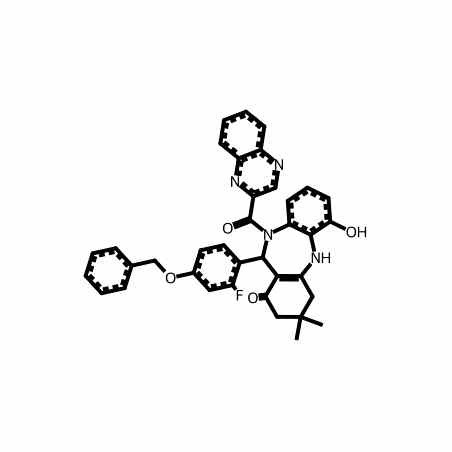 CC1(C)CC(=O)C2=C(C1)Nc1c(O)cccc1N(C(=O)c1cnc3ccccc3n1)C2c1ccc(OCc2ccccc2)cc1F